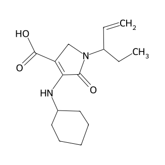 C=CC(CC)N1CC(C(=O)O)=C(NC2CCCCC2)C1=O